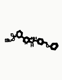 CC(C)(C)OC(=O)N1CCCC(c2cnc3c(c2)NC(c2ccc(COc4ccccc4)cc2)N3)C1